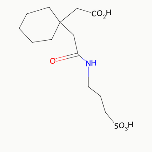 O=C(O)CC1(CC(=O)NCCCS(=O)(=O)O)CCCCC1